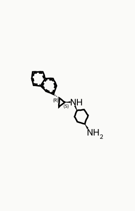 N[C@H]1CC[C@@H](N[C@H]2C[C@@H]2c2ccc3ccccc3c2)CC1